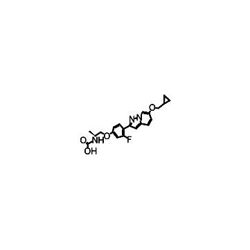 C[C@@H](COc1ccc(-c2cc3ccc(OCC4CC4)cn3n2)c(F)c1)NC(=O)O